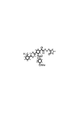 COc1ccc(C(=O)Nc2cc(C(=O)NCCCN3CCCC3=O)ccc2N2CCN(c3ccccc3C)CC2)cc1